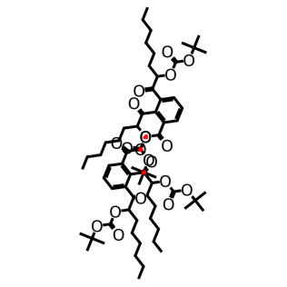 CCCCCCC(OC(=O)OC(C)(C)C)C(=O)c1cccc(C(=O)OOC(=O)c2cccc(C(=O)C(CCCCCC)OC(=O)OC(C)(C)C)c2C(=O)C(CCCCCC)OC(=O)OC(C)(C)C)c1C(=O)C(CCCCCC)OC(=O)OC(C)(C)C